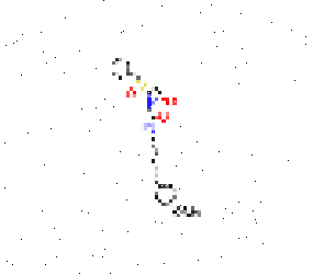 COc1ccc(CCCCCCNC(=O)CN2C(=O)CC2[S+]([O-])Cc2ccccc2)cc1